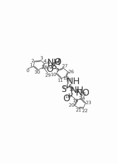 Cc1ccc(NS(=O)(=O)c2ccc(NC(=S)NC(=O)c3ccccc3N=O)cc2)c(C)c1